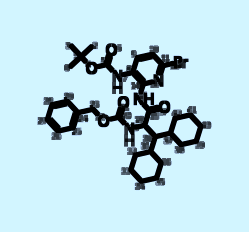 CC(C)(C)OC(=O)Nc1ccc(Br)nc1NC(=O)C(NC(=O)OCc1ccccc1)C(C1CCCCC1)C1CCCCC1